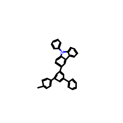 Cc1ccc(-c2cc(-c3ccccc3)cc(-c3ccc4c(c3)c3ccccc3n4-c3ccccc3)c2)cc1